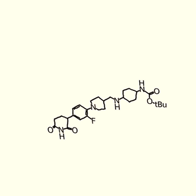 CC(C)(C)OC(=O)NC1CCC(NCC2CCN(c3ccc(C4CCC(=O)NC4=O)cc3F)CC2)CC1